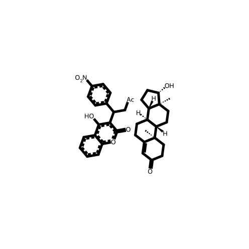 CC(=O)CC(c1ccc([N+](=O)[O-])cc1)c1c(O)c2ccccc2oc1=O.C[C@]12CC[C@H]3[C@@H](CCC4=CC(=O)CC[C@@]43C)[C@@H]1CC[C@@H]2O